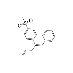 C=CCC(=Cc1ccccc1)c1ccc(S(C)(=O)=O)cc1